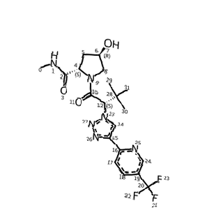 CNC(=O)[C@@H]1C[C@@H](O)CN1C(=O)[C@@H](n1cc(-c2ccc(C(F)(F)F)cn2)nn1)C(C)(C)C